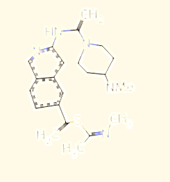 C=C(S/C(C)=N\C)c1ccc2cnc(NC(=C)N3CCC(NC)CC3)cc2c1